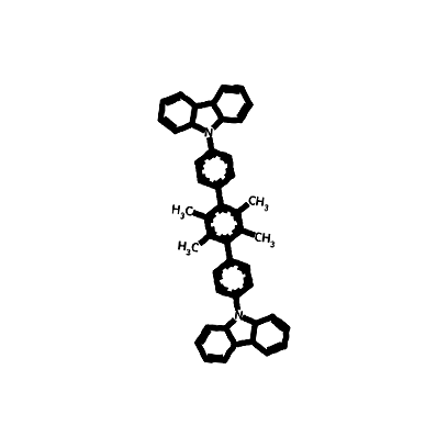 Cc1c(C)c(-c2ccc(N3C4C=CC=CC4C4C=CC=CC43)cc2)c(C)c(C)c1-c1ccc(N2C3C=CC=CC3C3C=CC=CC32)cc1